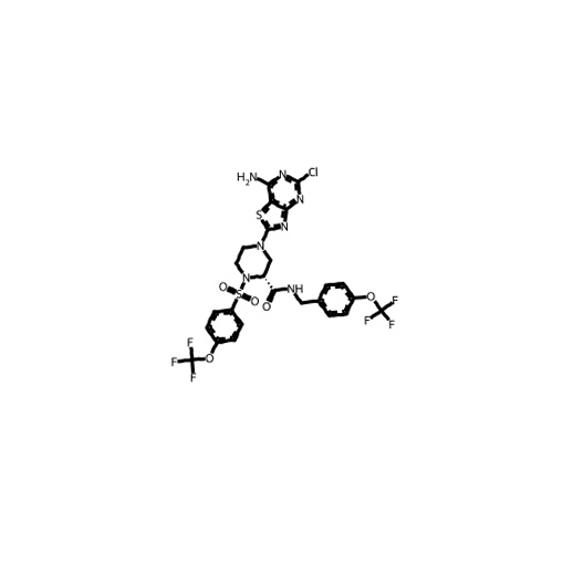 Nc1nc(Cl)nc2nc(N3CCN(S(=O)(=O)c4ccc(OC(F)(F)F)cc4)[C@@H](C(=O)NCc4ccc(OC(F)(F)F)cc4)C3)sc12